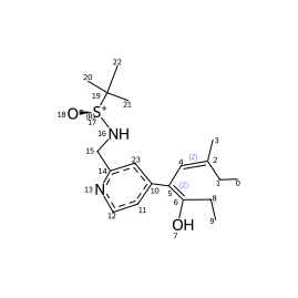 CC/C(C)=C\C(=C(\O)CC)c1ccnc(CN[S@@+]([O-])C(C)(C)C)c1